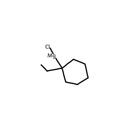 CC[C]1([Mg][Cl])CCCCC1